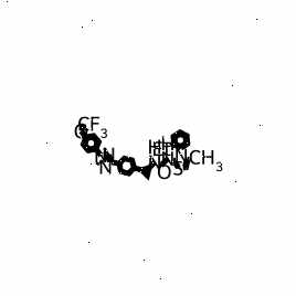 CCc1ccccc1N1C(C)=CSC1NC(=O)NC1CC1C1CCC(c2ncn(-c3ccc(OC(F)(F)F)cc3)n2)CC1